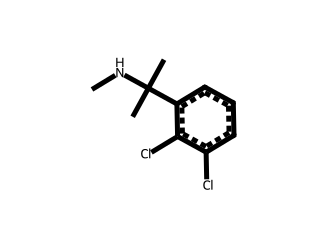 CNC(C)(C)c1cccc(Cl)c1Cl